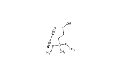 CO[Si](C)(CCCO)OC.N#CC#N